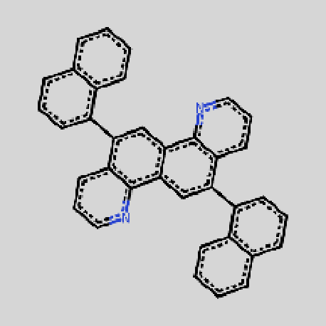 c1ccc2c(-c3cc4c(cc(-c5cccc6ccccc56)c5cccnc54)c4ncccc34)cccc2c1